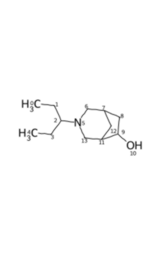 CCC(CC)N1CC2CC(O)C(C2)C1